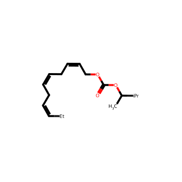 CC/C=C\C/C=C\C/C=C\COC(=O)OC(C)C(C)C